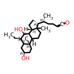 CC[C@@H]1C2C[C@H](O)CC[C@@]2(C)[C@H]2CCC3(C)[C@@H]([C@H](C)CCC=C=O)CC[C@H]3C2[C@@H]1O